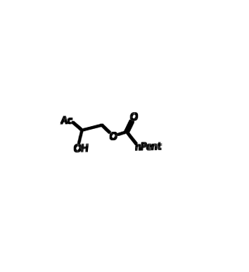 CCCCCC(=O)OCC(O)C(C)=O